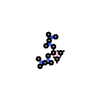 Cc1cc(C)c(B(c2cc(-c3cccc(-n4c5ccccc5c5cc6c7ccccc7n(-c7ccccc7)c6cc54)c3)cc(-c3cccc(-n4c5ccccc5c5cc6c7ccccc7n(-c7ccccc7)c6cc54)c3)c2)c2c(C)cc(C)cc2C)c(C)c1